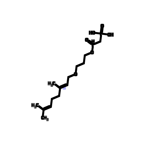 CC(C)=CCC/C(C)=C/COCCCO[PH](=O)CP(=O)(O)O